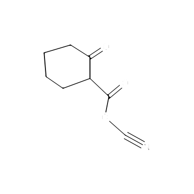 N#COC(=O)C1CCCCC1=O